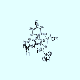 COCC(C)(C)c1c(C[C@H](F)C(=O)O)c2nc3[nH]ncc3cc2n1-c1ccc(F)cc1